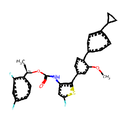 COc1cc(-c2sc(F)cc2NC(=O)O[C@H](C)c2ccc(F)cc2F)ccc1-c1ccc(C2CC2)cc1